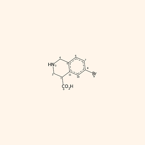 O=C(O)C1CNCc2ccc(Br)cc21